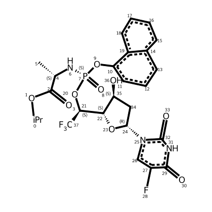 CC(C)OC(=O)[C@H](C)N[P@@](=O)(Oc1cccc2ccccc12)O[C@@H]([C@H]1O[C@@H](n2cc(F)c(=O)[nH]c2=O)C[C@@H]1O)C(F)(F)F